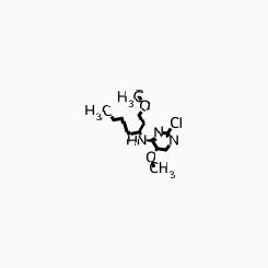 CCCCC(CCOC)NC1=NC(Cl)=NCC1OC